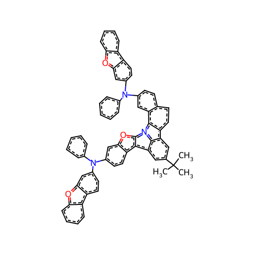 CC(C)(C)c1cc2c3ccc4ccc(N(c5ccccc5)c5ccc6c(c5)oc5ccccc56)cc4c3n3c4oc5cc(N(c6ccccc6)c6ccc7c(c6)oc6ccccc67)ccc5c4c(c1)c23